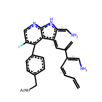 C=C/C=C\C(=C/N)C(=C)/C=c1\c(=C/N)[nH]c2ncc(F)c(-c3ccc(CNC(C)=O)cc3)c12